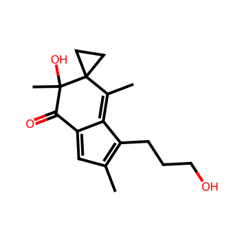 CC1=C(CCCO)C2=C(C)C3(CC3)C(C)(O)C(=O)C2=C1